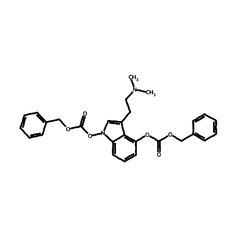 CN(C)CCc1cn(OC(=O)OCc2ccccc2)c2cccc(OC(=O)OCc3ccccc3)c12